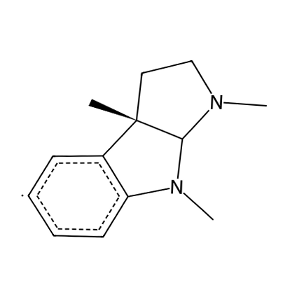 CN1CC[C@@]2(C)c3c[c]ccc3N(C)C12